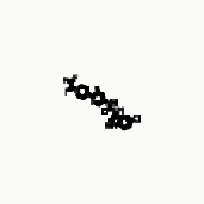 Cc1cc(NC(=O)Nc2c[nH]c3ccc(Cl)cc23)cnc1C1CCN(C(F)C(F)F)CC1